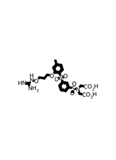 Cc1ccc(S(=O)(=O)c2cccc(S(=O)(=O)N(CC(=O)O)CC(=O)O)c2)c(OCCCONC(=N)N)c1